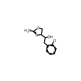 NC1=NC(C(O)Cc2ccccc2Cl)CO1